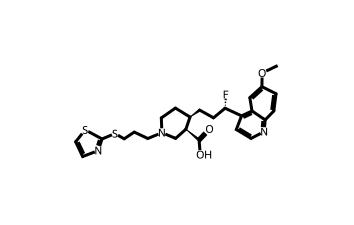 COc1ccc2nccc([C@@H](F)CC[C@@H]3CCN(CCCSc4nccs4)C[C@@H]3C(=O)O)c2c1